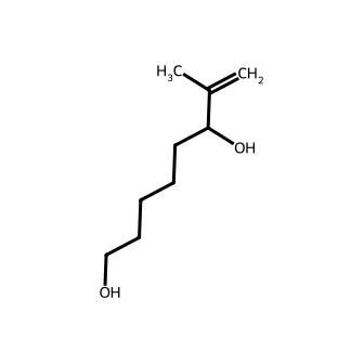 C=C(C)C(O)CCCCCO